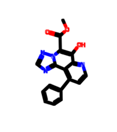 COC(=O)c1c(O)c2nccc(-c3ccccc3)c2c2ncnn12